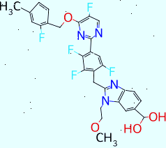 COCCn1c(Cc2c(F)cc(-c3ncc(F)c(OCc4ccc(C)cc4F)n3)c(F)c2F)nc2ccc(C(O)O)cc21